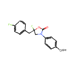 COc1ccc(N2CC(F)(Cc3ccc(F)cc3)OC2=O)cc1